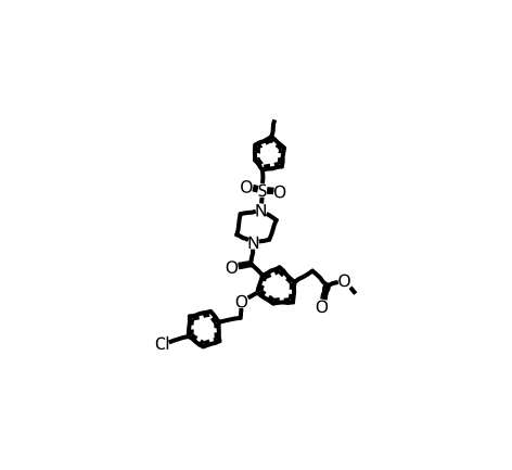 COC(=O)Cc1ccc(OCc2ccc(Cl)cc2)c(C(=O)N2CCN(S(=O)(=O)c3ccc(C)cc3)CC2)c1